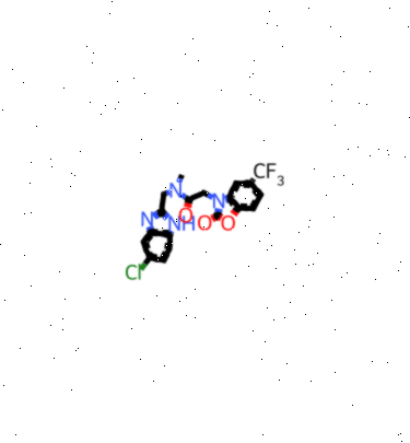 CN(Cc1nc2cc(Cl)ccc2[nH]1)C(=O)Cn1c(=O)oc2ccc(C(F)(F)F)cc21